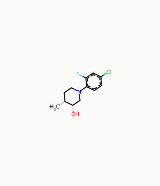 [CH2][C@@H]1CCN(c2ccc(Cl)cc2F)C[C@@H]1O